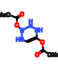 COC(=O)Oc1c[nH]n(OC(=O)OC)[nH][nH]1